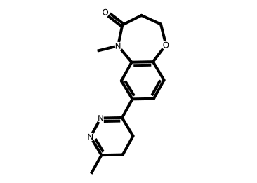 CC1=NN=C(c2ccc3c(c2)N(C)C(=O)CCO3)CC1